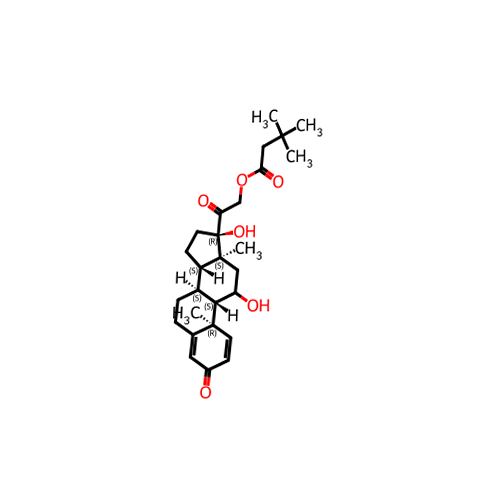 CC(C)(C)CC(=O)OCC(=O)[C@@]1(O)CC[C@H]2[C@@H]3CCC4=CC(=O)C=C[C@]4(C)[C@H]3C(O)C[C@@]21C